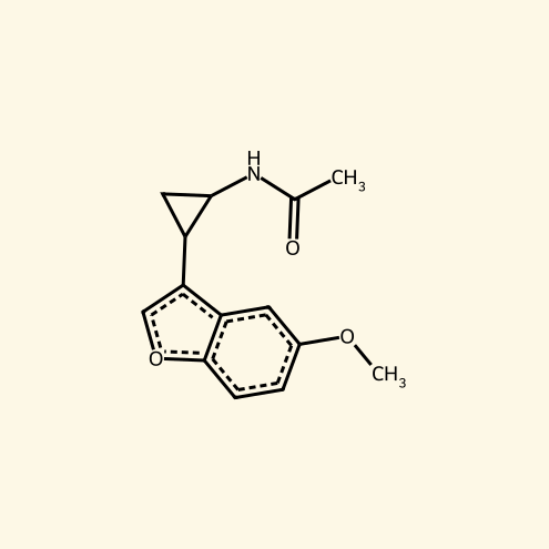 COc1ccc2occ(C3CC3NC(C)=O)c2c1